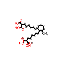 CC1CCCCC(CCCCCCC(C(=O)O)C(=O)O)C1CCCCCCC(C(=O)O)C(=O)O